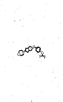 FC(F)Oc1ccc(SN2CC3CC(N4CCOCC4)CC3C2)cc1